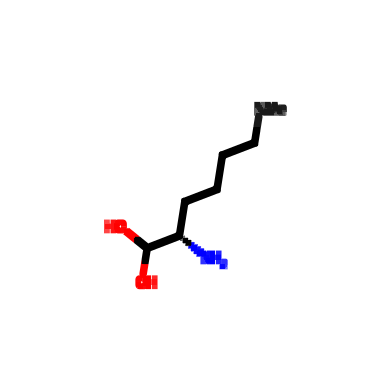 CNCCCC[C@H](N)C(O)O